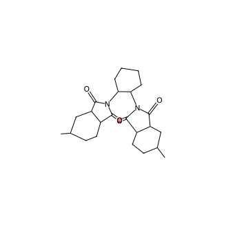 CC1CCC2C(=O)N(C3CCCCC3N3C(=O)C4CCC(C)CC4C3=O)C(=O)C2C1